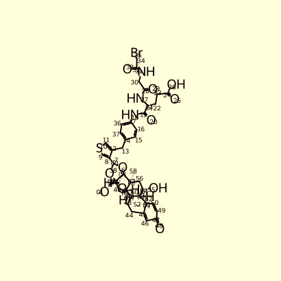 COCC(=O)[C@@]12O[C@H](c3cscc3Cc3ccc(NC(=O)[C@H](CCC(=O)O)NC(=O)CNC(=O)CBr)cc3)O[C@@H]1C[C@H]1[C@@H]3CCC4=CC(=O)C=C[C@]4(C)[C@H]3[C@@H](O)C[C@@]12C